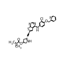 CN(C)C(=O)O[C@H]1CN[C@@H](C#Cc2cc3c(Nc4ccc(OCc5ccccn5)c(Cl)c4)ncnc3s2)C1